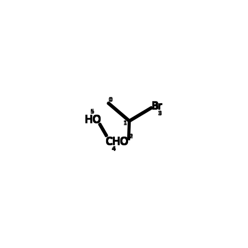 CC(C)Br.O=CO